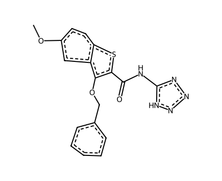 COc1ccc2sc(C(=O)Nc3nnn[nH]3)c(OCc3ccccc3)c2c1